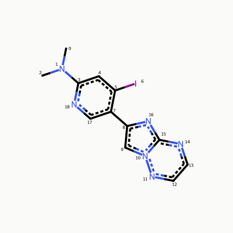 CN(C)c1cc(I)c(-c2cn3nccnc3n2)cn1